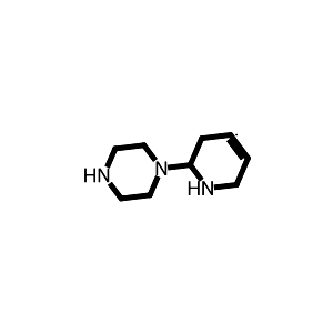 [C]1=CCNC(N2CCNCC2)C1